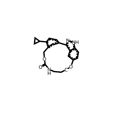 O=C1NCCCOc2ccc3[nH]nc(c3c2)-c2ccc(C3CC3)c(c2)CO1